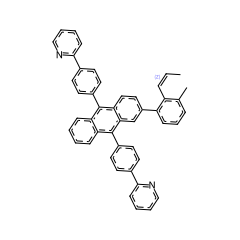 C/C=C\c1c(C)cccc1-c1ccc2c(-c3ccc(-c4ccccn4)cc3)c3ccccc3c(-c3ccc(-c4ccccn4)cc3)c2c1